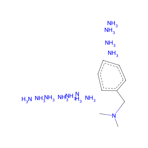 CN(C)Cc1ccccc1.N.N.N.N.N.N.N.N.N.N.N